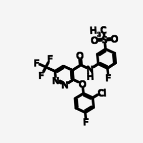 CS(=O)(=O)c1ccc(F)c(NC(=O)c2cc(C(F)(F)F)nnc2Oc2ccc(F)cc2Cl)c1